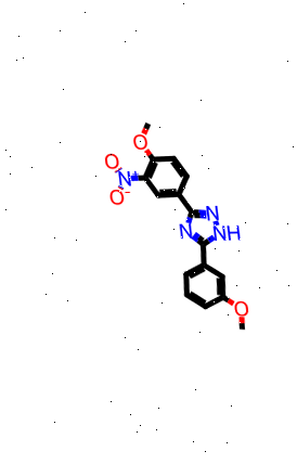 COc1cccc(-c2nc(-c3ccc(OC)c([N+](=O)[O-])c3)n[nH]2)c1